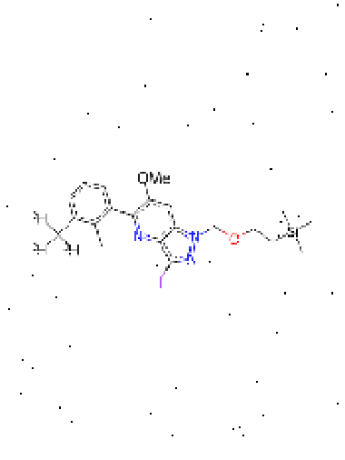 [2H]C([2H])([2H])c1cccc(-c2nc3c(I)nn(COCC[Si](C)(C)C)c3cc2OC)c1C